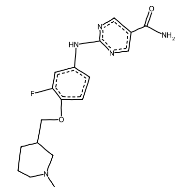 CN1CCCC(COc2ccc(Nc3ncc(C(N)=O)cn3)cc2F)C1